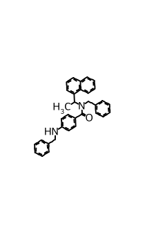 CC(c1cccc2ccccc12)N(Cc1ccccc1)C(=O)c1ccc(NCc2ccccc2)cc1